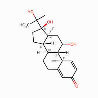 CC(O)(C(=O)O)[C@@]1(O)CC[C@H]2[C@@H]3CCC4=CC(=O)C=C[C@]4(C)[C@H]3C(O)C[C@@]21C